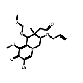 C=CCOC1Cn2cc(Br)c(=O)c(OC)c2C(OCOC)C1(C)CC=O